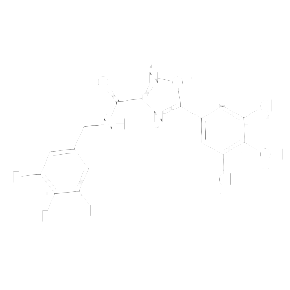 O=C(NCc1cc(F)c(F)c(F)c1)c1noc(-c2cc(Cl)c(O)c(Cl)c2)n1